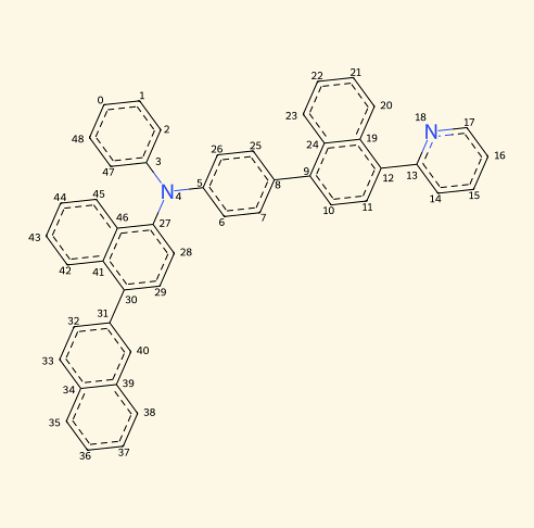 c1ccc(N(c2ccc(-c3ccc(-c4ccccn4)c4ccccc34)cc2)c2ccc(-c3ccc4ccccc4c3)c3ccccc23)cc1